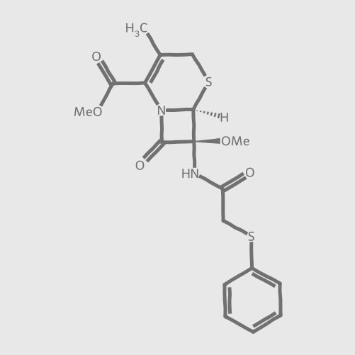 COC(=O)C1=C(C)CS[C@@H]2N1C(=O)[C@]2(NC(=O)CSc1ccccc1)OC